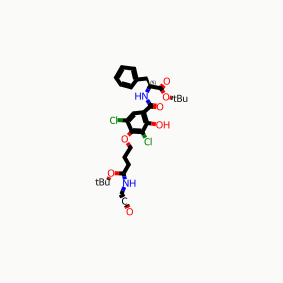 CC(C)(C)OC(=O)[C@H](Cc1ccccc1)NC(=O)c1cc(Cl)c(OCCCC(NC=C=O)OC(C)(C)C)c(Cl)c1O